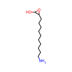 NCCCCCCCCCCC1OC1O